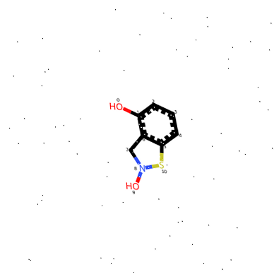 Oc1cccc2c1[CH]N(O)S2